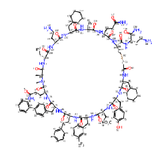 CC(C)C[C@H]1NC(=O)[C@H](C)N(C)C(=O)[C@H](CCC(N)=O)NC(=O)[C@H](Cc2ccc(-c3ccccc3)cc2)NC(=O)[C@H](CCc2ccccc2)NC(=O)[C@H](Cc2cccc(C(F)(F)F)c2)NC(=O)[C@H](CC(=O)O)NC(=O)[C@H](Cc2ccc(O)cc2)NC(=O)[C@H](CC2CCCCC2)NC(=O)CSC[C@@H](C(=O)N[C@@H](CCN)C(N)=O)NC(=O)[C@H](CCC(N)=O)NC(=O)[C@H](C(C)C)NC(=O)[C@H](CC2CCCCC2)NC(=O)[C@H](CCN)NC1=O